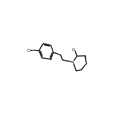 Clc1ccc(CCN2CCCCC2Cl)cc1